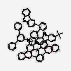 CC(C)(C)c1ccc2c3ccc(C(C)(C)C)cc3n(-c3cccc(-c4ccc5sc6ccccc6c5c4)c3-c3ccc4c(c3)B3c5ccc(-c6ccccc6)cc5N(c5c(-c6ccccc6)cccc5-c5ccccc5)c5cc(-c6ccccc6)cc(c53)N4c3cc(-c4ccccc4)cc(-c4ccccc4)c3)c2c1